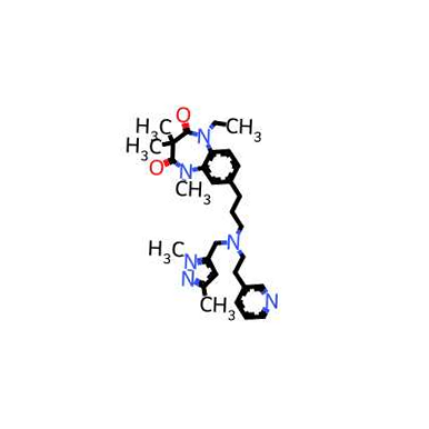 CCN1C(=O)C(C)(C)C(=O)N(C)c2cc(CCCN(CCc3cccnc3)Cc3cc(C)nn3C)ccc21